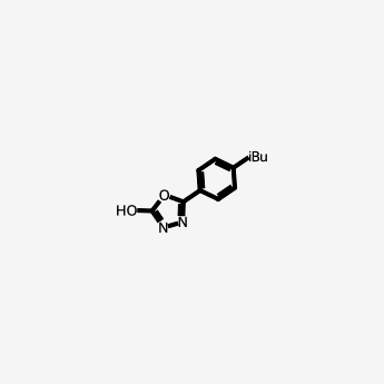 CCC(C)c1ccc(-c2nnc(O)o2)cc1